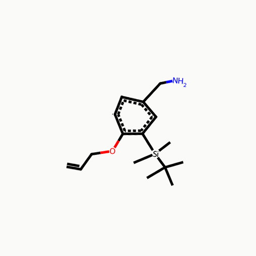 C=CCOc1[c]cc(CN)cc1[Si](C)(C)C(C)(C)C